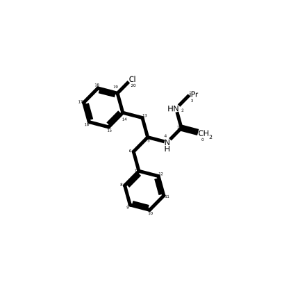 C=C(NC(C)C)NC(Cc1ccccc1)Cc1ccccc1Cl